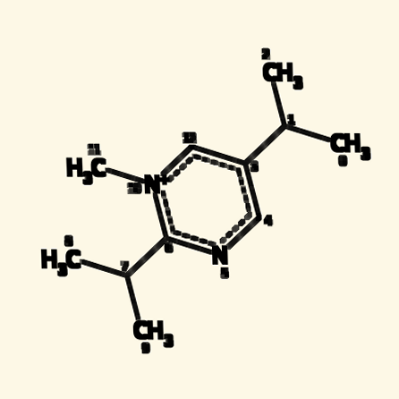 CC(C)c1cnc(C(C)C)[n+](C)c1